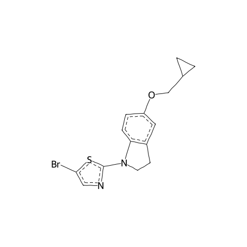 Brc1cnc(N2CCc3cc(OCC4CC4)ccc32)s1